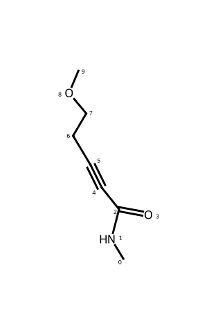 CNC(=O)C#CCCOC